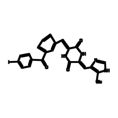 CC(C)(C)c1[nH]cnc1/C=c1\[nH]c(=O)/c(=C/c2cccc(C(=O)c3ccc(I)cc3)c2)[nH]c1=O